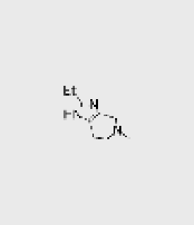 CCc1nc2c([nH]1)CCN(C)C2